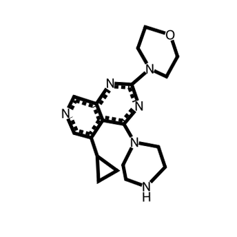 c1ncc2nc(N3CCOCC3)nc(N3CCNCC3)c2c1C1CC1